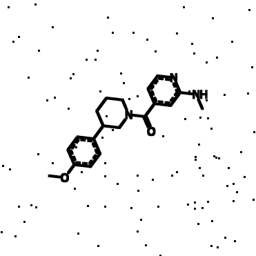 CNc1cc(C(=O)N2CCCC(c3ccc(OC)cc3)C2)ccn1